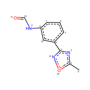 Cc1nc(-c2cccc(NC=O)c2)no1